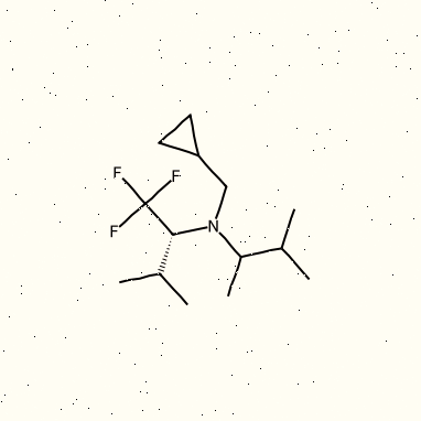 CC(C)C(C)N(CC1CC1)[C@H](C(C)C)C(F)(F)F